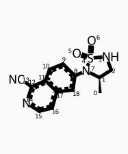 C[C@@H]1CNS(=O)(=O)N1c1ccc2c(C#N)nccc2c1